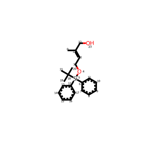 C/C(=C\CO[Si](c1ccccc1)(c1ccccc1)C(C)(C)C)CO